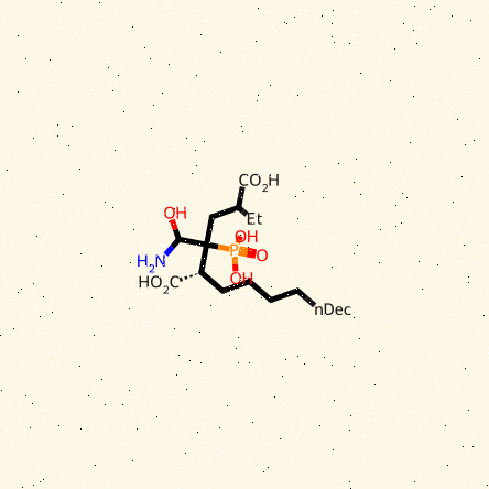 CCCCCCCCCCCCCC[C@H](C(=O)O)C(CC(CC)C(=O)O)(C(N)O)P(=O)(O)O